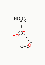 CC(C)(CCCCCc1cc(O)cc(CCCCCC(C)(C)C(=O)O)c1O)OC=O